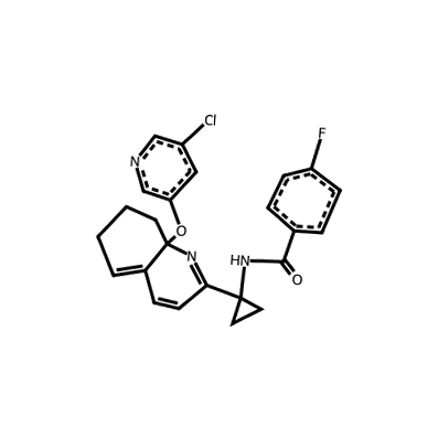 O=C(NC1(C2=NC3(Oc4cncc(Cl)c4)CCCC=C3C=C2)CC1)c1ccc(F)cc1